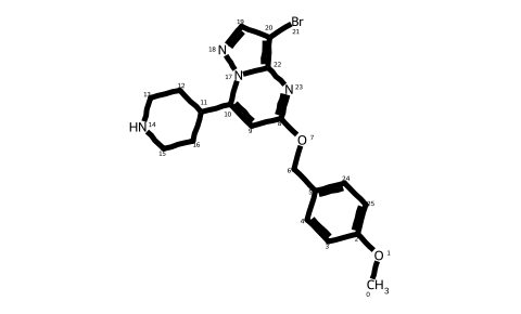 COc1ccc(COc2cc(C3CCNCC3)n3ncc(Br)c3n2)cc1